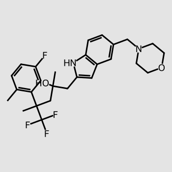 Cc1ccc(F)cc1C(C)(CC(C)(O)Cc1cc2cc(CN3CCOCC3)ccc2[nH]1)C(F)(F)F